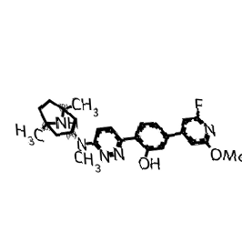 COc1cc(-c2ccc(-c3ccc(N(C)[C@@H]4C[C@]5(C)CC[C@](C)(C4)N5)nn3)c(O)c2)cc(F)n1